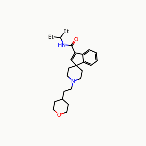 CCC(CC)NC(=O)C1=CC2(CCN(CCC3CCOCC3)CC2)c2ccccc21